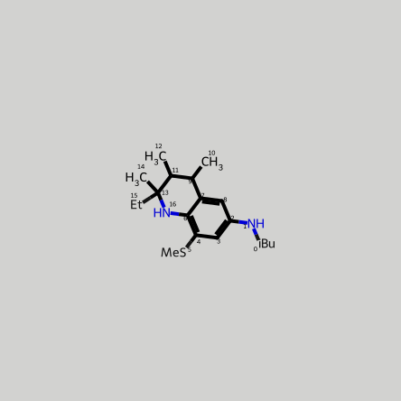 CCC(C)Nc1cc(SC)c2c(c1)C(C)C(C)C(C)(CC)N2